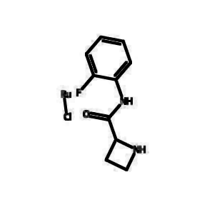 O=C(Nc1ccccc1F)C1CCN1.[Cl][Ru]